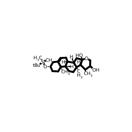 C[C@@H]1C(O)CO[C@@]2(O)C[C@H]3[C@@H]4CC=C5C[C@@H](O[Si](C)(C)C(C)(C)C)CC[C@]5(C)[C@H]4CC[C@]3(C)[C@@H]12